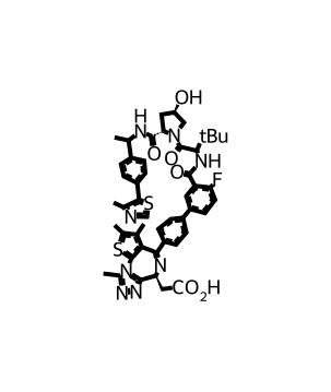 Cc1ncsc1-c1ccc(C(C)NC(=O)[C@@H]2C[C@@H](O)CN2C(=O)C(NC(=O)c2cc(-c3ccc(C4=N[C@@H](CC(=O)O)c5nnc(C)n5-c5sc(C)c(C)c54)cc3)ccc2F)C(C)(C)C)cc1